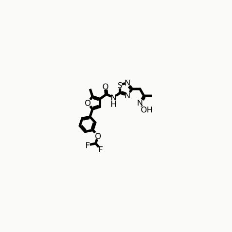 CC(Cc1nsc(NC(=O)c2cc(-c3cccc(OC(F)F)c3)oc2C)n1)=NO